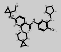 Cc1ccc(NC(=O)c2ccc(NC3(CO)CC3)nc2N2CCC3(CC2)CC3)cc1SC1CCCC1